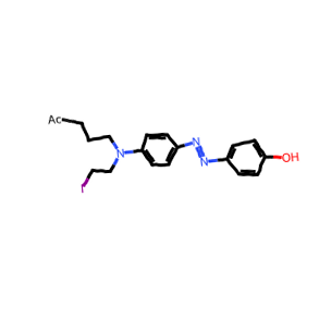 CC(=O)CCCN(CCI)c1ccc(N=Nc2ccc(O)cc2)cc1